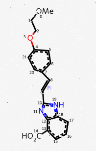 COCCOc1ccc(/C=C/c2nc3c(C(=O)O)cccc3[nH]2)cc1